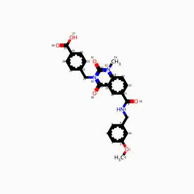 COc1cccc(CNC(=O)c2ccc3c(c2)c(=O)n(Cc2ccc(C(=O)O)cc2)c(=O)n3C)c1